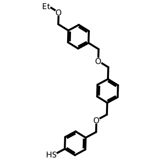 CCOCc1ccc(COCc2ccc(COCc3ccc(S)cc3)cc2)cc1